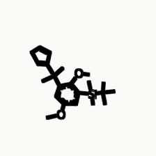 COc1cc(C(C)(C)C2=CCC=C2)c(OC)c([Si](C)(C)C(C)(C)C)c1